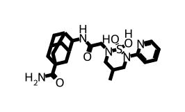 CC1CN(CC(=O)NC2C3CC4CC2CC(C(N)=O)(C4)C3)S(O)(O)N(c2ccccn2)C1